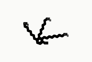 CCCCCCCCCc1c(O)ccc(CCCCCCCC)c1CCCCCCCC